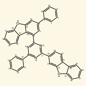 c1ccc(-c2cc(-c3nc(-c4ccccc4)nc(-c4ccc5c(c4)oc4ccccc45)n3)c3c(c2)oc2ccccc23)cc1